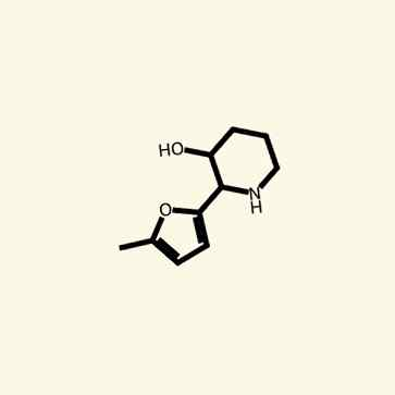 Cc1ccc(C2NCCCC2O)o1